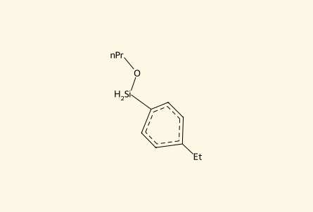 CCCO[SiH2]c1ccc(CC)cc1